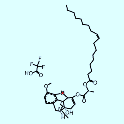 CCCCCCCC/C=C\CCCCCCCC(=O)O[C@@H](C)C(=O)OC1=CC[C@@]2(O)[C@H]3Cc4ccc(OC)c5c4[C@@]2(CCN3C)[C@H]1O5.O=C(O)C(F)(F)F